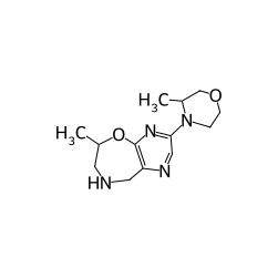 CC1CNCc2ncc(N3CCOCC3C)nc2O1